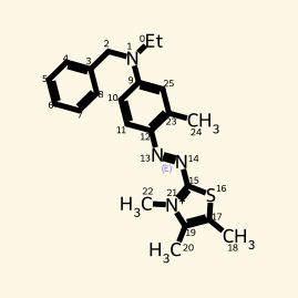 CCN(Cc1ccccc1)c1ccc(/N=N/c2sc(C)c(C)[n+]2C)c(C)c1